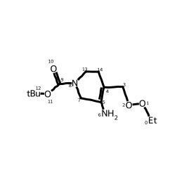 CCOOCC1=C(N)CN(C(=O)OC(C)(C)C)CC1